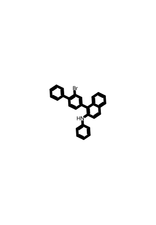 Brc1cc(-c2c(Nc3ccccc3)ccc3ccccc23)ccc1-c1ccccc1